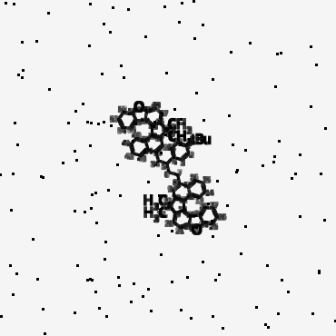 CC(C)(C)c1ccc(C(CCc2cc3c(c4ccccc24)-c2c(ccc4oc5ccccc5c24)C3(C)C)Cc2cc3c(c4ccccc24)-c2c(ccc4oc5ccccc5c24)C3(C)C)cc1